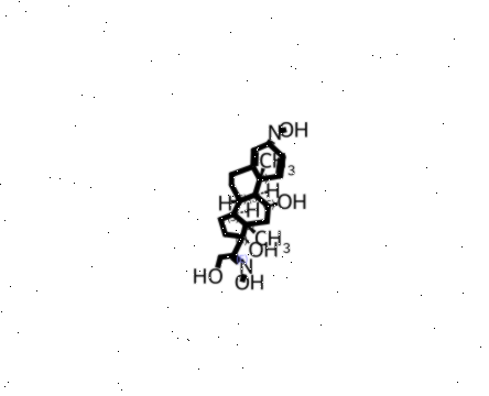 C[C@]12C=CC(=NO)C=C1CC[C@@H]1[C@@H]2[C@@H](O)C[C@@]2(C)[C@H]1CC[C@]2(O)/C(CO)=N/O